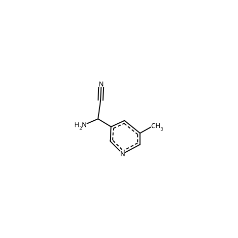 Cc1cncc(C(N)C#N)c1